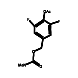 CNC(=O)OCc1cc(F)c(OC(C)=O)c(F)c1